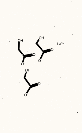 O=C([O-])CO.O=C([O-])CO.O=C([O-])CO.[Lu+3]